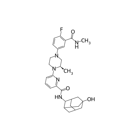 CNC(=O)c1cc(N2CCN(c3cccc(C(=O)NC4C5CC6CC4CC(O)(C6)C5)n3)[C@H](C)C2)ccc1F